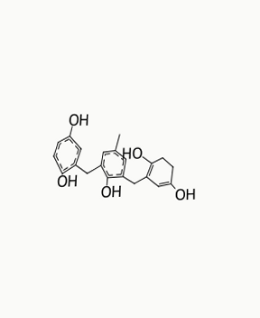 Cc1cc(CC2=C(O)CCC(O)=C2)c(O)c(Cc2cc(O)ccc2O)c1